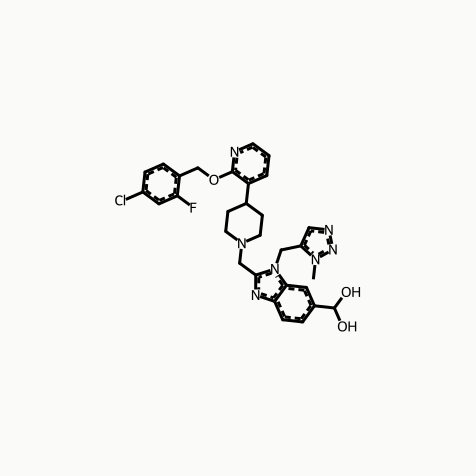 Cn1nncc1Cn1c(CN2CCC(c3cccnc3OCc3ccc(Cl)cc3F)CC2)nc2ccc(C(O)O)cc21